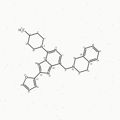 CC1CCN(c2ncc(CN3CCc4ccccc4C3)c3nc(-c4ccco4)nn23)CC1